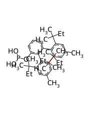 CCC(C)(C)c1cc(C)cc(C(C)(C)CC)c1-c1cccc(OP(O)O)c1-c1c(C(C)(C)CC)cc(C)cc1C(C)(C)CC